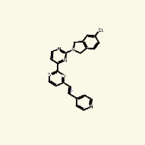 CCc1ccc2c(c1)CN(c1nccc(-c3nccc(/C=C/c4ccncc4)n3)n1)C2